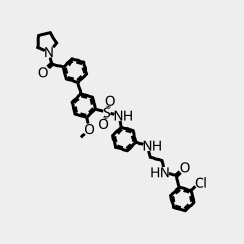 COc1ccc(-c2cccc(C(=O)N3CCCC3)c2)cc1S(=O)(=O)Nc1cccc(NCCNC(=O)c2ccccc2Cl)c1